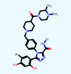 CCNC(=O)c1nnc(-c2cc(C(C)C)c(O)cc2O)n1-c1ccc(CN2CCC(C(=O)N3CCN(C)C(C)C3)CC2)cc1